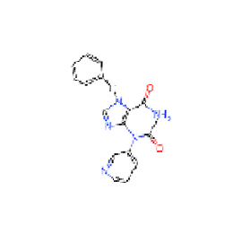 CC(=O)N(c1cccnc1)c1ncn(Cc2ccccc2)c1C(N)=O